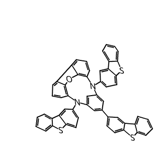 c1ccc2c(c1)sc1ccc(-c3cc4cc(c3)N(c3ccc5sc6ccccc6c5c3)c3cccc5c3oc3c(cccc35)N4c3ccc4sc5ccccc5c4c3)cc12